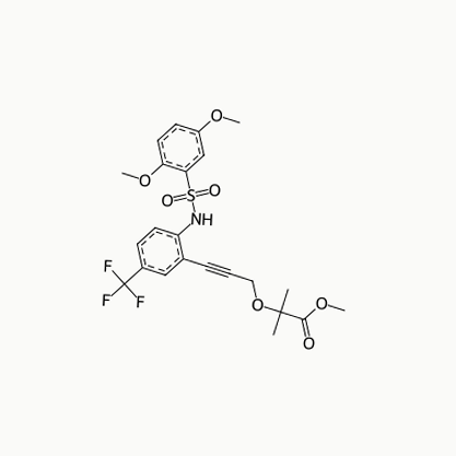 COC(=O)C(C)(C)OCC#Cc1cc(C(F)(F)F)ccc1NS(=O)(=O)c1cc(OC)ccc1OC